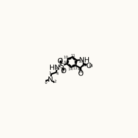 CN(C)CCNS(=O)(=O)c1ccc2c(c1)C(=O)C(=O)N2